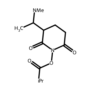 CNC(C)C1CCC(=O)N(OC(=O)C(C)C)C1=O